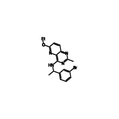 CCOc1ccc2nc(C)nc(NC(C)c3cccc(Br)c3)c2n1